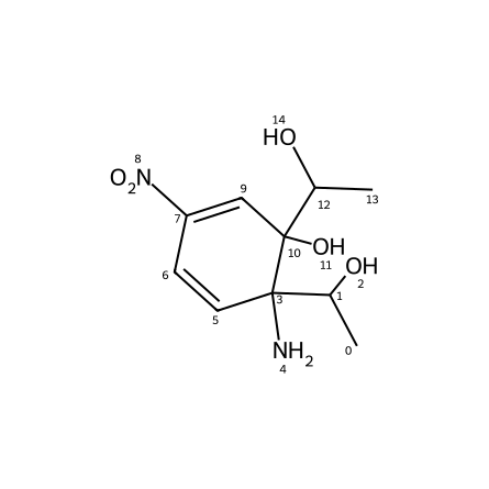 CC(O)C1(N)C=CC([N+](=O)[O-])=CC1(O)C(C)O